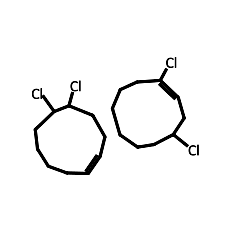 ClC1=CCC(Cl)CCCCCC1.ClC1CCC=CCCCCC1Cl